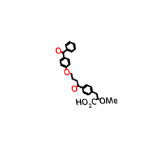 COC(Cc1ccc(C(=O)CCCOc2ccc(C(=O)c3ccccc3)cc2)cc1)C(=O)O